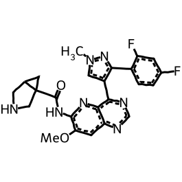 COc1cc2ncnc(-c3cn(C)nc3-c3ccc(F)cc3F)c2nc1NC(=O)C12CNCC1C2